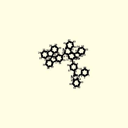 c1ccc(-n2c(-c3ccc(-c4cc5c(-c6ccc7c(c6)C6(c8ccccc8-c8ccccc86)c6ccccc6-7)nc6ccccc6c5c5c4sc4ccccc45)cc3)nc3ccccc32)cc1